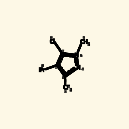 CC(C)c1c(C(F)(F)F)nn(C)c1Cl